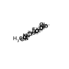 COc1cnc(N2CCC(COc3ccc(-c4ccc5c(c4)OC[S@@+]5[O-])cc3F)CC2)nc1